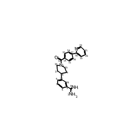 N=C(N)c1cccc(C2CCN(C(=O)c3ccc(-c4ccccn4)cc3)CC2)c1